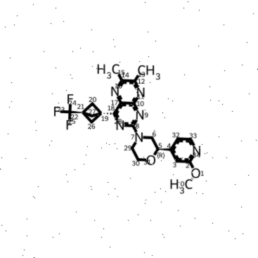 COc1cc([C@@H]2CN(c3nc4nc(C)c(C)nc4c([C@]45C[C@@](C(F)(F)F)(C4)C5)n3)CCO2)ccn1